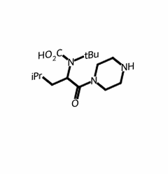 CC(C)CC(C(=O)N1CCNCC1)N(C(=O)O)C(C)(C)C